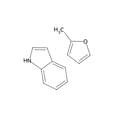 Cc1ccco1.c1ccc2[nH]ccc2c1